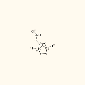 ClNCC1C[C@H]2CC[C@@H]1C2